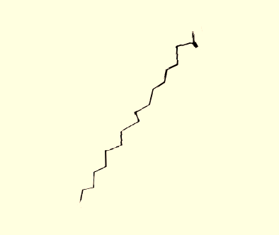 O=C(O)CCCCCCCCCCCCCCCS